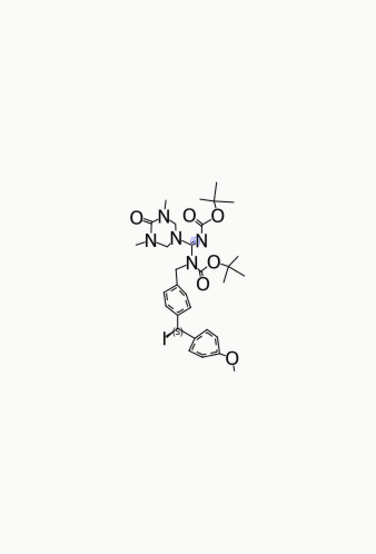 COc1ccc([C@@H](I)c2ccc(CN(C(=O)OC(C)(C)C)/C(=N/C(=O)OC(C)(C)C)N3CN(C)C(=O)N(C)C3)cc2)cc1